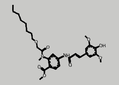 CCCCCCCCOCC(=O)N(C)c1cc(NC(=O)C=Cc2cc(OC)c(O)c(OC)c2)ccc1C(=O)OC